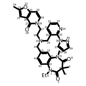 CCN1C(=O)C(C)(C)C(=O)N(C)c2cc(CN(CCn3ccc4oc(C)cc4c3=O)Cc3cccnc3-n3cccn3)ccc21